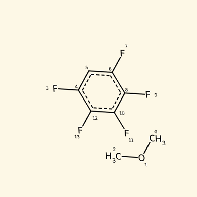 COC.Fc1cc(F)c(F)c(F)c1F